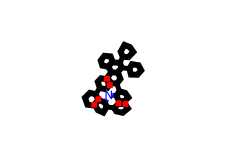 c1ccc(-c2ccccc2N(c2ccccc2-c2ccccc2)c2ccccc2-c2ccc3c(c2)c(-c2ccccc2)c(-c2ccccc2)c2ccccc23)cc1